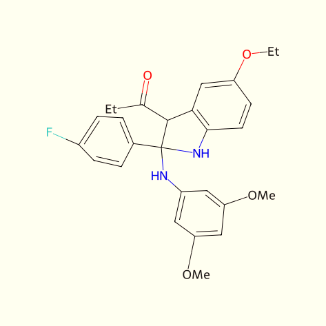 CCOc1ccc2c(c1)C(C(=O)CC)C(Nc1cc(OC)cc(OC)c1)(c1ccc(F)cc1)N2